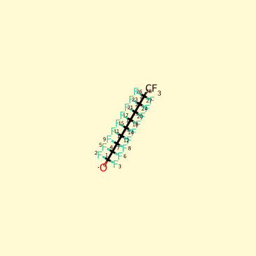 [O]C(F)(F)C(F)(F)C(F)(F)C(F)(F)C(F)(F)C(F)(F)C(F)(F)C(F)(F)C(F)(F)C(F)(F)F